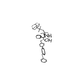 CC(C)(CC(C)(C)C12CC3CC(CC(C3)C1)C2)NC(=O)C(O)Cc1ccc(OCc2ccccc2)cc1